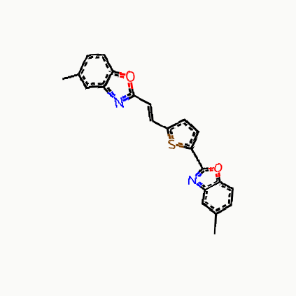 Cc1ccc2oc(C=Cc3ccc(-c4nc5cc(C)ccc5o4)s3)nc2c1